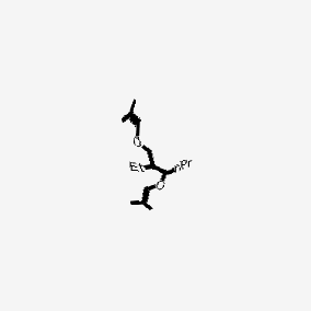 CCCC(OC=C(C)C)C(CC)COC=C(C)C